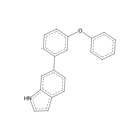 [c]1ccc(Oc2ccccc2)cc1-c1ccc2cc[nH]c2c1